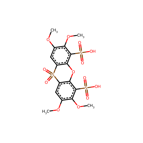 COc1cc2c(c(S(=O)(=O)O)c1OC)Oc1c(cc(OC)c(OC)c1S(=O)(=O)O)S2(=O)=O